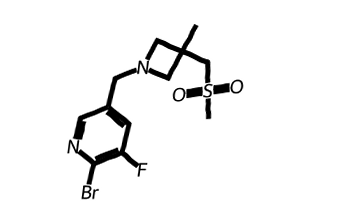 CC1(CS(C)(=O)=O)CN(Cc2cnc(Br)c(F)c2)C1